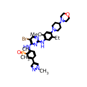 CCc1cc(Nc2ncc(Br)c(Nc3ccc(-c4cnn(C)c4)cc3P(C)(C)=O)n2)c(OC)cc1N1CCC(N2CCOCC2)CC1